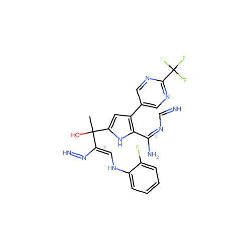 CC(O)(/C(=C/Nc1ccccc1F)N=N)c1cc(-c2cnc(C(F)(F)F)nc2)c(/C(N)=N\C=N)[nH]1